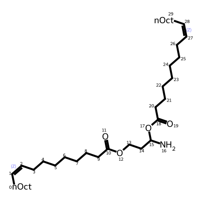 CCCCCCCC/C=C\CCCCCCCC(=O)OCCC(N)OC(=O)CCCCCCC/C=C\CCCCCCCC